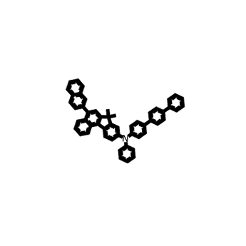 CC1(C)c2cc(N(c3ccccc3)c3ccc(-c4ccc(-c5ccccc5)cc4)cc3)ccc2-c2c1cc(-c1ccc3ccccc3c1)c1ccccc21